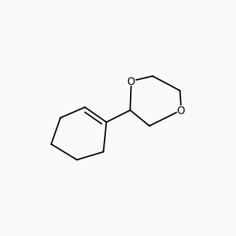 C1=C(C2COCCO2)CCCC1